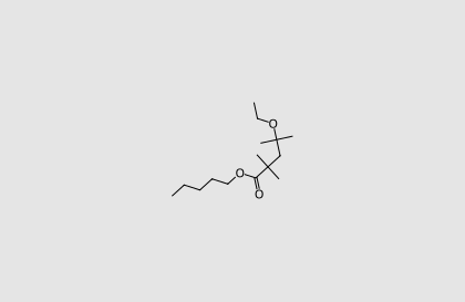 CCCCCOC(=O)C(C)(C)CC(C)(C)OCC